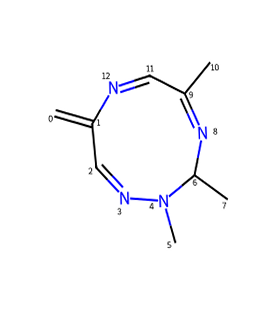 C=C1/C=N\N(C)C(C)/N=C(C)\C=N/1